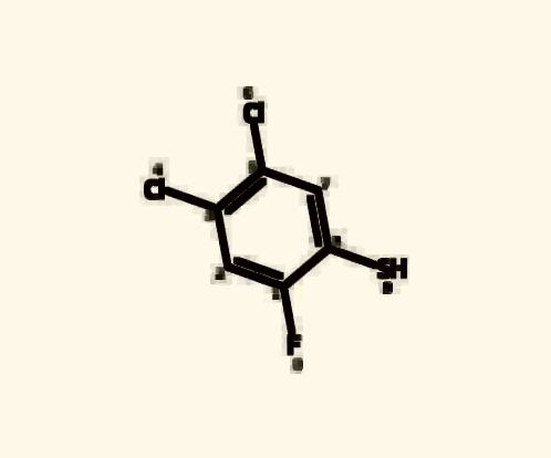 Fc1cc(Cl)c(Cl)cc1S